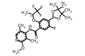 COc1ncc(C)c(NC(=O)c2cc(F)c(B3OC(C)(C)C(C)(C)O3)cc2O[C@@H](C)C(F)(F)F)c1C